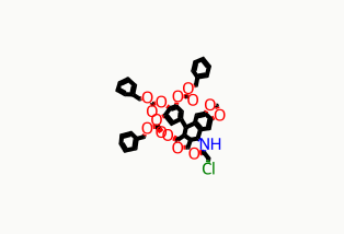 O=C(CCl)NC1c2cc3c(cc2C(c2cc(OC(=O)OCc4ccccc4)c(OC(=O)OCc4ccccc4)c(OC(=O)OCc4ccccc4)c2)C2C(=O)OCC12)OCO3